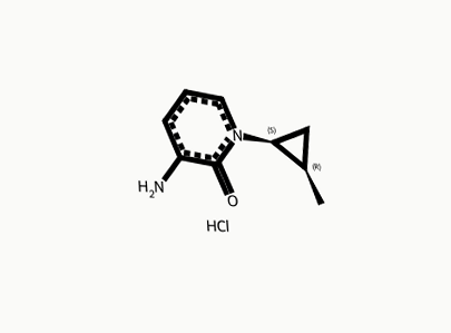 C[C@@H]1C[C@@H]1n1cccc(N)c1=O.Cl